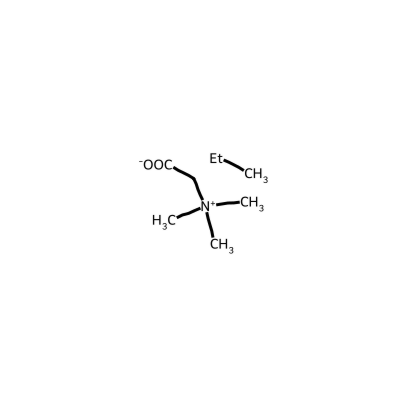 CCC.C[N+](C)(C)CC(=O)[O-]